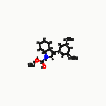 CC(C)(C)OC(=O)n1cc(-c2cc(C(C)(C)C)cc(C(C)(C)C)c2)c2ccccc21